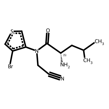 CC(C)C[C@H](N)C(=O)N(CC#N)c1cscc1Br